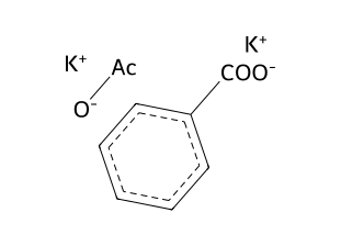 CC(=O)[O-].O=C([O-])c1ccccc1.[K+].[K+]